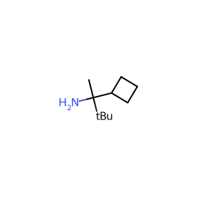 CC(C)(C)C(C)(N)C1CCC1